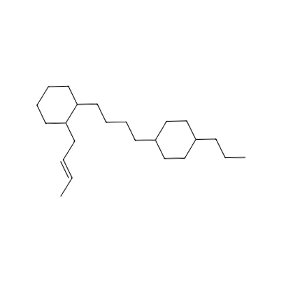 CC=CCC1CCCCC1CCCCC1CCC(CCC)CC1